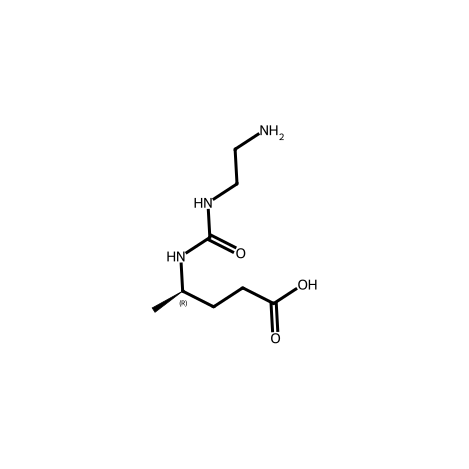 C[C@H](CCC(=O)O)NC(=O)NCCN